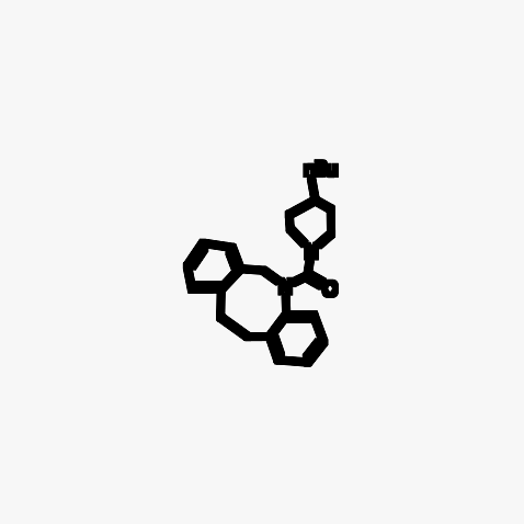 CCCCC1CCN(C(=O)N2Cc3ccccc3CCc3ccccc32)CC1